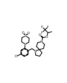 CC(OC(=O)N1CCC2(CCCN2Cc2ccc(Cl)cc2N2CCS(=O)(=O)CC2)CC1)C(F)(F)F